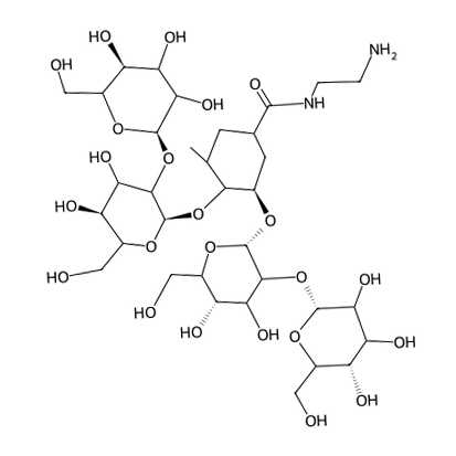 CC1CC(C(=O)NCCN)C[C@@H](O[C@H]2OC(CO)[C@@H](O)C(O)C2O[C@H]2OC(CO)[C@@H](O)C(O)C2O)C1O[C@H]1OC(CO)[C@@H](O)C(O)C1O[C@H]1OC(CO)[C@@H](O)C(O)C1O